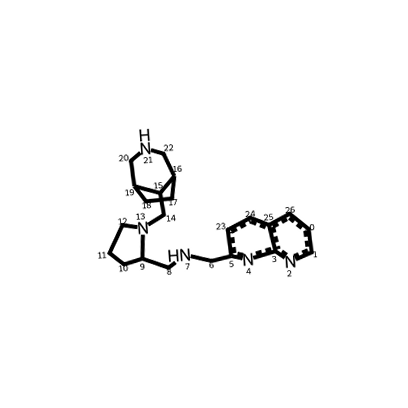 c1cnc2nc(CNCC3CCCN3CC3C4CCC3CNC4)ccc2c1